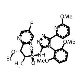 CCO[C@H](c1ncc(F)cn1)[C@H](C)S(=O)(=O)Nc1nnc(-c2cccc(OC)n2)n1-c1c(OC)cccc1OC